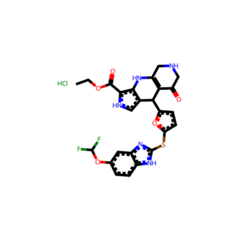 CCOC(=O)c1[nH]cc2c1NC1=C(C(=O)CNC1)C2c1ccc(Sc2nc3cc(OC(F)F)ccc3[nH]2)o1.Cl